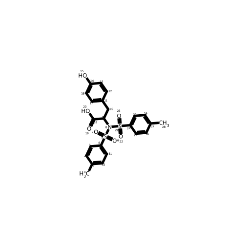 Cc1ccc(S(=O)(=O)N(C(Cc2ccc(O)cc2)C(=O)O)S(=O)(=O)c2ccc(C)cc2)cc1